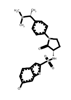 C[C@H](c1ccc(N2CC[C@H](NS(=O)(=O)c3cc4ccc(Cl)cc4s3)C2=O)cc1)N(C)C